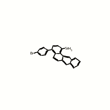 [SiH3]c1ccc(-c2ccc(Br)cc2)c2ccc3cc4ccccc4cc3c12